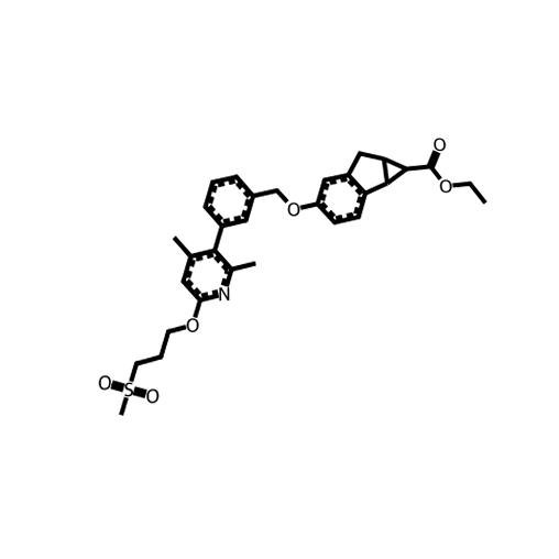 CCOC(=O)C1C2Cc3cc(OCc4cccc(-c5c(C)cc(OCCCS(C)(=O)=O)nc5C)c4)ccc3C21